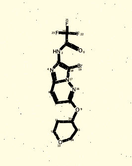 O=C(Nc1nc2ccc(OC3CCOCC3)nn2c1Br)C(F)(F)F